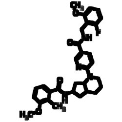 COc1cccc(C(=O)NC2CC3CCCN(c4ccc(C(=O)NCc5c(F)cccc5OC)cn4)C3C2)c1C